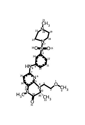 COCCN1c2nc(Nc3cccc(S(=O)(=O)N4CCN(C)CC4)c3)ccc2N(C)C(=O)[C@H]1C